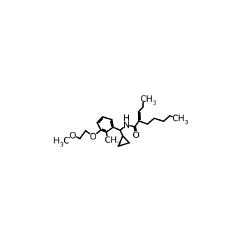 CCC=C(CCCCC)C(=O)NC(c1cccc(OCCOC)c1C)C1CC1